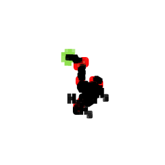 COCO[C@H]1CC[C@H]2[C@@H]3CC[C@H]4CC5(CC[C@]4(C)[C@H]3[C@@H](c3ccc(OCC=CCCS(=O)(=O)CCCC(F)(F)C(F)(F)F)cc3)C[C@]12C)OCCO5